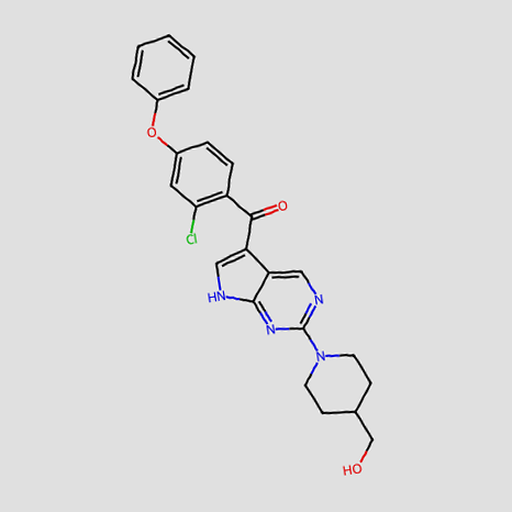 O=C(c1ccc(Oc2ccccc2)cc1Cl)c1c[nH]c2nc(N3CCC(CO)CC3)ncc12